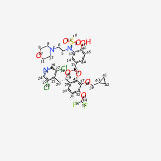 CS(=O)(=O)N(CCN1CCOCC1)c1cc(C(=O)O[C@@H](Cc2c(Cl)cncc2Cl)c2ccc(OC(F)F)c(OCC3CC3)c2)ccc1O